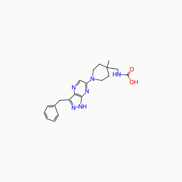 CC1(CNC(=O)O)CCN(c2cnc3c(Cc4ccccc4)n[nH]c3n2)CC1